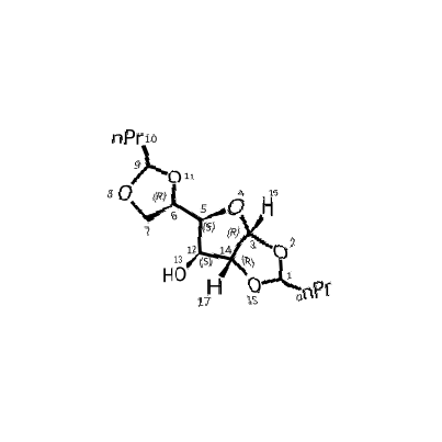 CCCC1O[C@H]2O[C@H]([C@H]3COC(CCC)O3)[C@H](O)[C@H]2O1